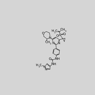 C=C(C)S(=O)(=O)C1(c2cc(N3CCOC[C@@H]3C)nc(-c3ccc(NC(=O)Nc4cnn(C)c4)cc3)n2)CC1